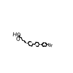 O=C(O)CCC=C[C@H]1CC[C@H]([C@H]2CC[C@H](c3ccc(Br)cc3)CC2)CC1